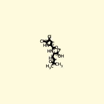 CC(C)(C)/C=C/[C@@H](NC(=O)c1cc(Cl)c(Cl)[nH]1)C(=O)O